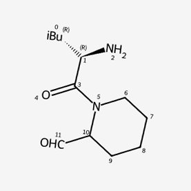 CC[C@@H](C)[C@@H](N)C(=O)N1CCCCC1C=O